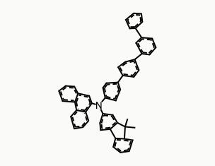 CC1(C)c2ccccc2-c2ccc(N(c3ccc(-c4ccc(-c5cccc(-c6ccccc6)c5)cc4)cc3)c3cc4ccccc4c4ccccc34)cc21